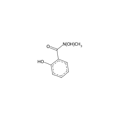 CN(O)C(=O)c1ccccc1O